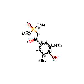 COP(=O)(CC(=O)c1cc(C(C)(C)C)c(O)c(C(C)(C)C)c1)OC